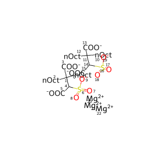 CCCCCCCCC(CCCCCCCC)(C(=O)[O-])C(C(=O)[O-])S(=O)(=O)[O-].CCCCCCCCC(CCCCCCCC)(C(=O)[O-])C(C(=O)[O-])S(=O)(=O)[O-].[Mg+2].[Mg+2].[Mg+2]